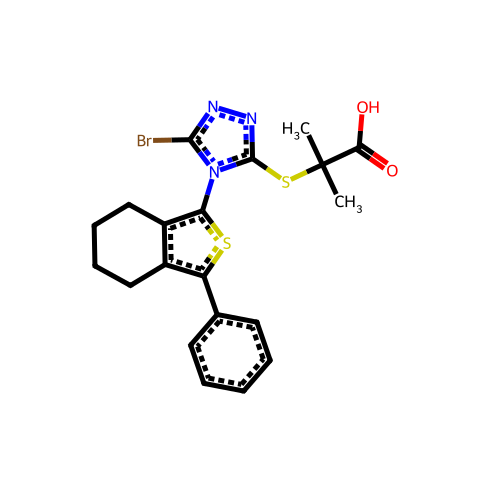 CC(C)(Sc1nnc(Br)n1-c1sc(-c2ccccc2)c2c1CCCC2)C(=O)O